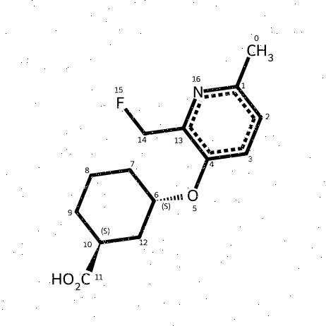 Cc1ccc(O[C@H]2CCC[C@H](C(=O)O)C2)c(CF)n1